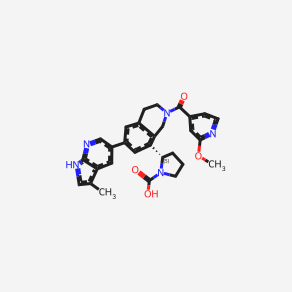 COc1cc(C(=O)N2CCc3cc(-c4cnc5[nH]cc(C)c5c4)cc([C@@H]4CCCN4C(=O)O)c3C2)ccn1